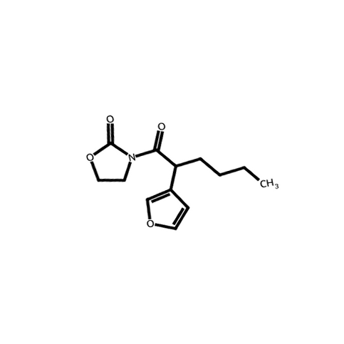 CCCCC(C(=O)N1CCOC1=O)c1ccoc1